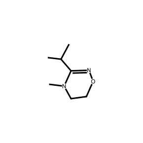 CC(C)C1=NOCCN1C